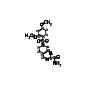 COc1ccc(S(=O)(=O)N2CCc3[c]nc(C(N)=O)nc3C2)c(OC)c1